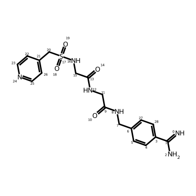 N=C(N)c1ccc(CNC(=O)CNC(=O)CNS(=O)(=O)Cc2ccncc2)cc1